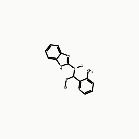 CCSC(c1ncccc1C)[S+]([O-])c1nc2ccccc2[nH]1